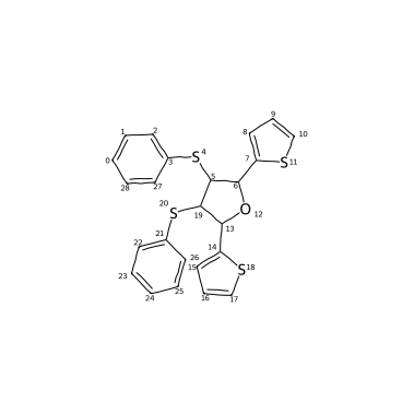 c1ccc(SC2C(c3cccs3)OC(c3cccs3)C2Sc2ccccc2)cc1